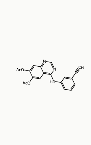 C#Cc1cccc(Nc2ncnc3cc(OC(C)=O)c(OC(C)=O)cc23)c1